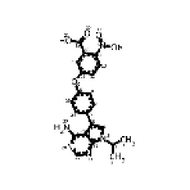 CC(C)n1cc(-c2ccc(Oc3ccc([N+](=O)[O-])c(C(=O)O)c3)cc2)c2c(N)ncnc21